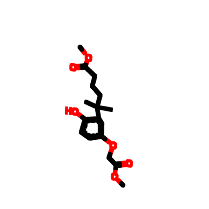 COC(=O)CCCC(C)(C)c1cc(OCC(=O)OC)ccc1O